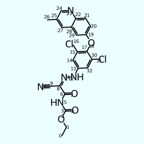 CCOC(=O)NC(=O)C(C#N)=NNc1cc(Cl)c(Oc2ccc3ncc(C)cc3c2)c(Cl)c1